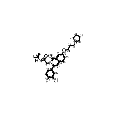 C=C(C)NC(=O)Cn1c(-c2ccc(F)c(Cl)c2)cc2ccc(OCCCN3CCCC3)cc2c1=O